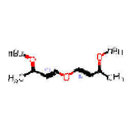 CCCCOC(C)/C=C/O/C=C/C(C)OCCCC